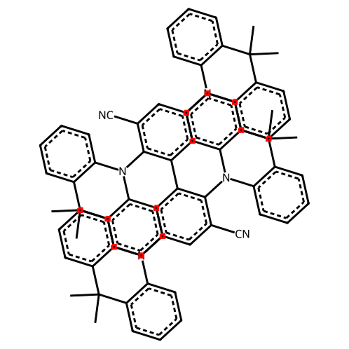 CC1(C)c2ccccc2N(c2cc(C#N)c(N3c4ccccc4C(C)(C)c4ccccc43)c(-c3cc(N4c5ccccc5C(C)(C)c5ccccc54)cc(C#N)c3N3c4ccccc4C(C)(C)c4ccccc43)c2)c2ccccc21